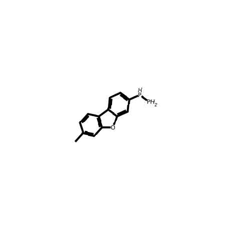 Cc1ccc2c(c1)oc1cc(PP)ccc12